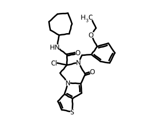 CCOc1ccccc1CN1C(=O)c2cc3sccc3n2CC1(Cl)C(=O)NC1CCCCCC1